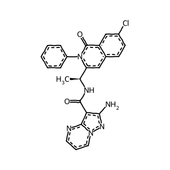 C[C@H](NC(=O)c1c(N)nn2cccnc12)c1cc2ccc(Cl)cc2c(=O)n1-c1ccccc1